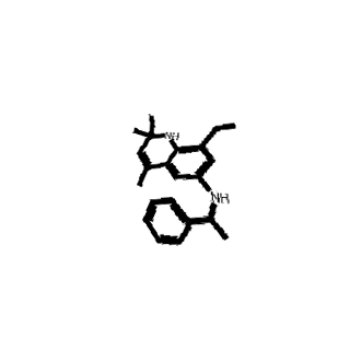 CCc1cc(NC(C)c2ccccc2)cc2c1NC(C)(C)C=C2C